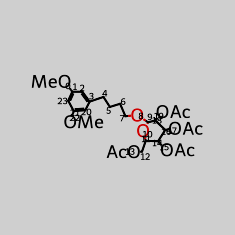 COc1cc(CCCCOC2OC(COC(C)=O)C(OC(C)=O)C(OC(C)=O)C2OC(C)=O)cc(OC)c1